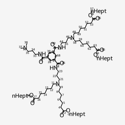 CCCCCCCOC(=O)CCCCCCN(CCCCCCC(=O)OCCCCCCC)CCCNC(=O)c1cc(C(=O)NCCCN(C)C)cc(C(=O)NCCCN(CCCCCCC(=O)OCCCCCCC)CCCCCCC(=O)OCCCCCCC)c1